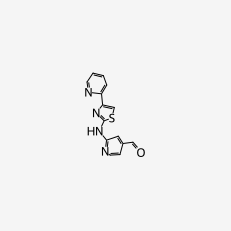 O=Cc1ccnc(Nc2nc(-c3ccccn3)cs2)c1